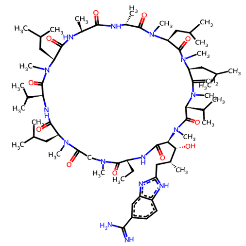 C=C1[C@H](CC(C)C)N(C)C(=O)[C@H](CC(C)C)N(C)C(=O)[C@@H](C)NC(=O)[C@H](C)NC(=O)[C@H](CC(C)C)N(C)C(=O)[C@H](C(C)C)NC(=O)[C@H](CC(C)C)N(C)C(=O)CN(C)C(=O)[C@H](CC)NC(=O)[C@H]([C@H](O)[C@H](C)Cc2nc3cc(C(=N)N)ccc3[nH]2)N(C)C(=O)[C@H](C(C)C)N1C